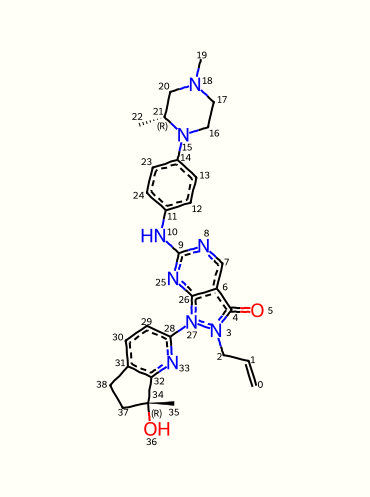 C=CCn1c(=O)c2cnc(Nc3ccc(N4CCN(C)C[C@H]4C)cc3)nc2n1-c1ccc2c(n1)[C@](C)(O)CC2